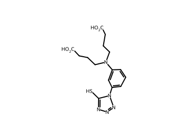 O=C(O)CCCN(CCCC(=O)O)c1cccc(-n2nnnc2S)c1